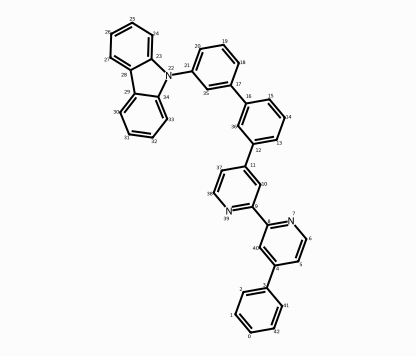 c1ccc(-c2ccnc(-c3cc(-c4cccc(-c5cccc(-n6c7ccccc7c7ccccc76)c5)c4)ccn3)c2)cc1